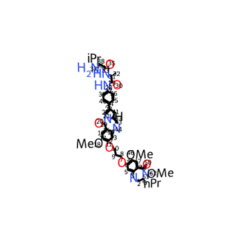 CCC[C@H]1C=Nc2cc(OCCCOc3cc4c(cc3OC)C(=O)N3C=C(c5ccc(NC(=O)[C@H](C)NC(=O)[C@@H](N)C(C)C)cc5)C[C@H]3C=N4)c(OC)cc2C(=O)N1OC